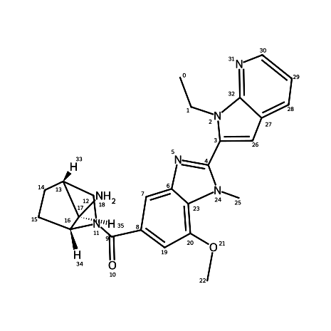 CCn1c(-c2nc3cc(C(=O)N4C[C@H]5CC[C@@H]4[C@@H]5N)cc(OC)c3n2C)cc2cccnc21